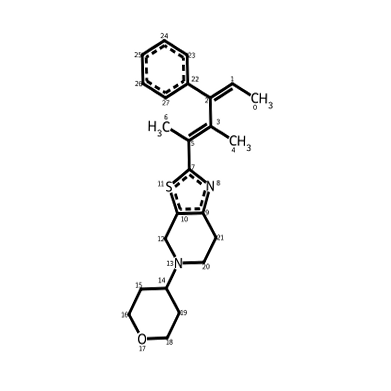 C/C=C(\C(C)=C(/C)c1nc2c(s1)CN(C1CCOCC1)CC2)c1ccccc1